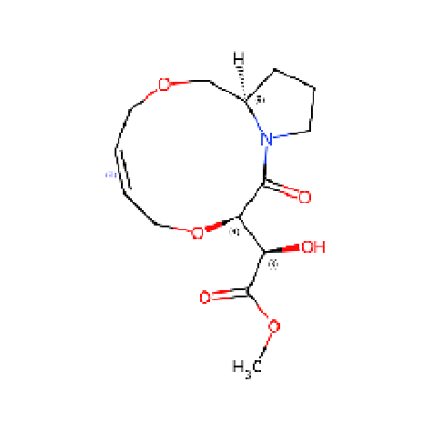 COC(=O)[C@H](O)[C@H]1OC/C=C\COC[C@H]2CCCN2C1=O